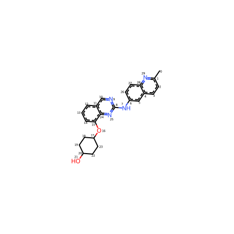 Cc1ccc2cc(Nc3ncc4cccc(OC5CCC(O)CC5)c4n3)ccc2n1